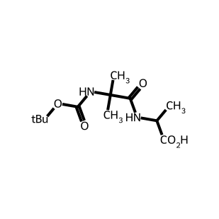 CC(NC(=O)C(C)(C)NC(=O)OC(C)(C)C)C(=O)O